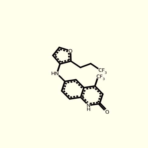 O=c1cc(C(F)(F)F)c2cc(Nc3ccoc3CCC(F)(F)F)ccc2[nH]1